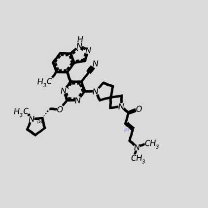 Cc1ccc2[nH]ncc2c1-c1nc(OC[C@@H]2CCCN2C)nc(N2CCC3(CN(C(=O)/C=C/CN(C)C)C3)C2)c1C#N